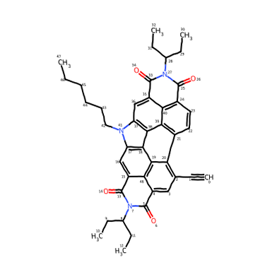 C#Cc1cc2c(=O)n(C(CC)CC)c(=O)c3cc4c5c(c1c1ccc6c(=O)n(C(CC)CC)c(=O)c7cc(c5c1c67)n4CCCCCC)c23